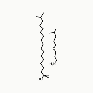 CC(C)CCCCCCCCCCCCCCC(=O)O.CC(C)CCCOCCCN